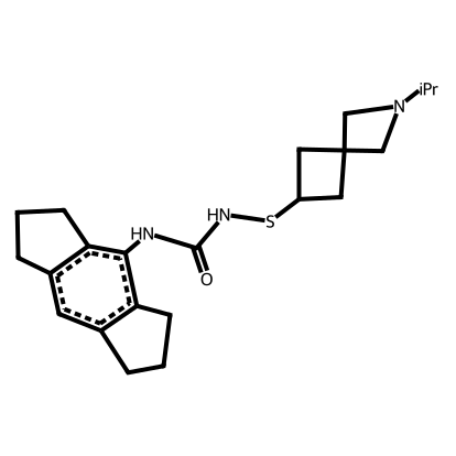 CC(C)N1CC2(CC(SNC(=O)Nc3c4c(cc5c3CCC5)CCC4)C2)C1